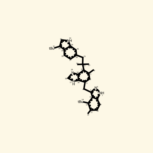 Cc1cc(Cc2n[nH]c3ccc(C)c(C(C)(C)C)c23)c2[nH]cnc2c1C(C)(C)Cc1ccc2c(C(C)(C)C)c[nH]c2c1